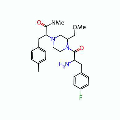 CNC(=O)C(Cc1ccc(C)cc1)N1CCN(C(=O)C(N)Cc2ccc(F)cc2)C(COC)C1